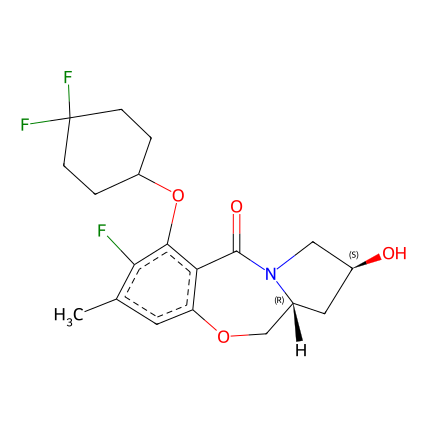 Cc1cc2c(c(OC3CCC(F)(F)CC3)c1F)C(=O)N1C[C@@H](O)C[C@@H]1CO2